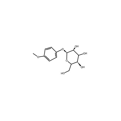 COc1ccc(O[C@@H]2OC(CO)[C@H](O)C(O)[C@@H]2O)cc1